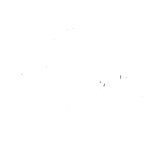 COC1(c2ccc(C(N)=O)s2)C2CCCC1CN(C1CCCCC1)C2